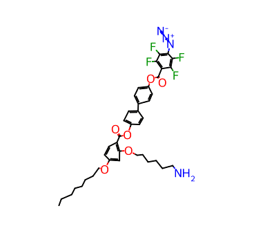 CCCCCCCCOc1ccc(C(=O)Oc2ccc(-c3ccc(OC(=O)c4c(F)c(F)c(N=[N+]=[N-])c(F)c4F)cc3)cc2)c(OCCCCCCN)c1